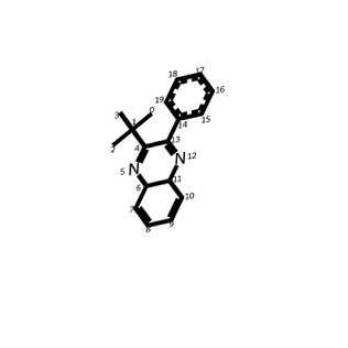 CC(C)(C)C1=NC2C=CC=CC2N=C1c1ccccc1